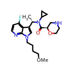 COCCCCn1cc([C@H](C)N(C(=O)[C@H]2CNCCO2)C2CC2)c2c(F)ccnc21